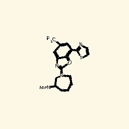 CNC1CCCCN(c2nc3cc(C(F)(F)F)cc(-c4nccs4)c3o2)C1